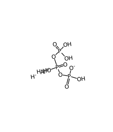 O=P([O-])(O)OP(=O)(O)OP(=O)(O)O.[Al+3].[H-].[H-]